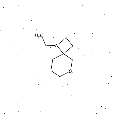 CCN1CCC12CCCOC2